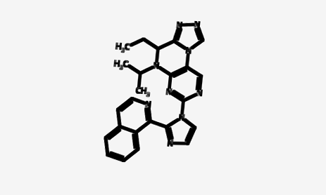 CCC1c2nncn2-c2cnc(-n3ccnc3-c3nccc4ccccc34)nc2N1C(C)C